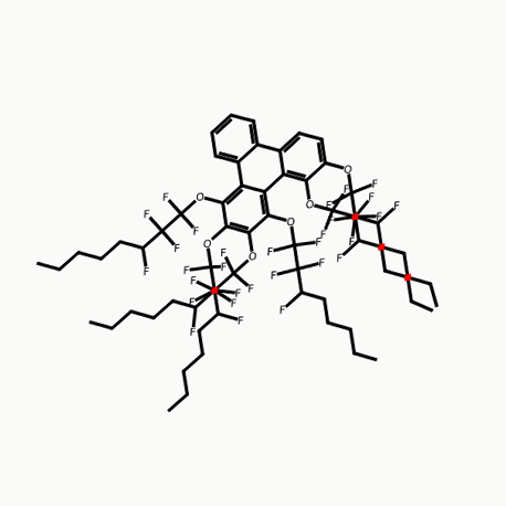 CCCCCC(F)C(F)(F)C(F)(F)Oc1ccc2c3ccccc3c3c(OC(F)(F)C(F)(F)C(F)CCCCC)c(OC(F)(F)C(F)(F)C(F)CCCCC)c(OC(F)(F)C(F)(F)C(F)CCCCC)c(OC(F)(F)C(F)(F)C(F)CCCCC)c3c2c1OC(F)(F)C(F)(F)C(F)CCCCC